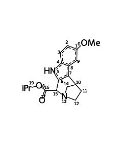 COc1ccc2[nH]c3c(c2c1)C1CCN(C1)C3C(=O)OC(C)C